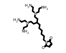 NCCN(CCN)CCC(CCCCCCN1C(=O)C=CC1=O)CCN(CCN)CCN